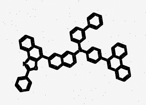 c1ccc(-c2cccc(N(c3ccc(-c4cc5ccccc5c5ccccc45)cc3)c3ccc4ccc(-c5cc6ccccc6c6nc(-c7ccccc7)oc56)cc4c3)c2)cc1